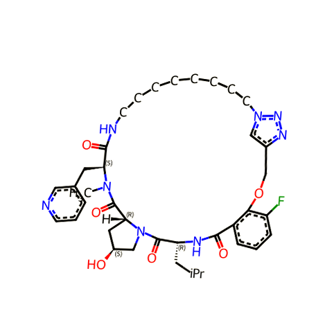 CC(C)C[C@H]1NC(=O)c2cccc(F)c2OCc2cn(nn2)CCCCCCCCNC(=O)[C@H](Cc2cccnc2)N(C)C(=O)[C@H]2C[C@H](O)CN2C1=O